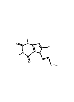 CC/C=C/n1c(Cl)nc2c1c(=O)n(C)c(=O)n2C